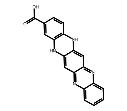 O=C(O)c1ccc2c(c1)Nc1cc3nc4ccccc4nc3cc1N2